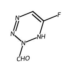 O=CN1N=NC=C(F)N1